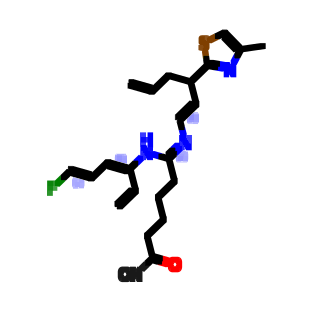 C=CCC(/C=C/N=C(/CCCCC(=O)N=O)N/C(C=C)=C/C=C/F)c1nc(C)cs1